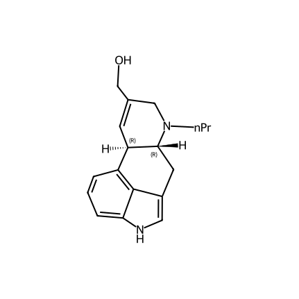 CCCN1CC(CO)=C[C@@H]2c3cccc4[nH]cc(c34)C[C@H]21